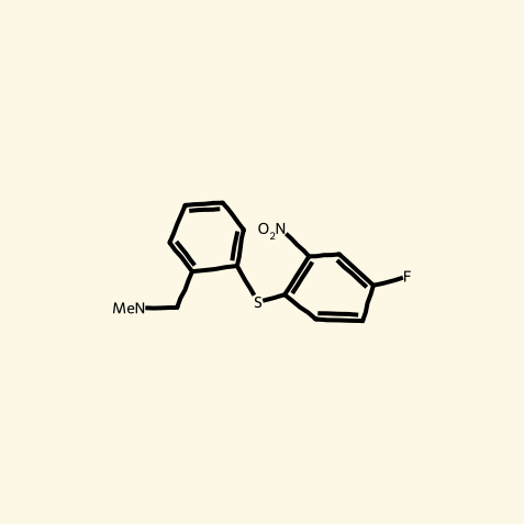 CNCc1ccccc1Sc1ccc(F)cc1[N+](=O)[O-]